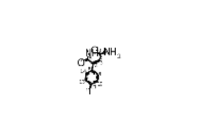 NC(=O)C=C(C(N)=O)c1ccc(I)cc1